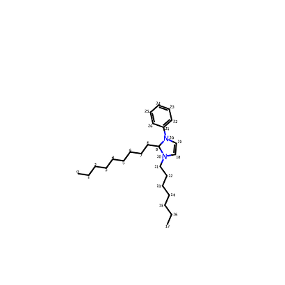 CCCCCCCCCC1N(CCCCCCC)C=CN1c1ccccc1